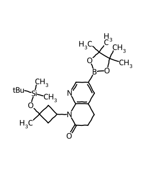 CC1(O[Si](C)(C)C(C)(C)C)CC(N2C(=O)CCc3cc(B4OC(C)(C)C(C)(C)O4)cnc32)C1